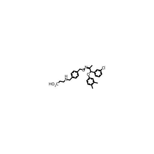 CC(=NOCc1ccc(CNCCC(=O)O)cc1)C(Oc1ccc(C)c(C)c1)c1cccc(Cl)c1